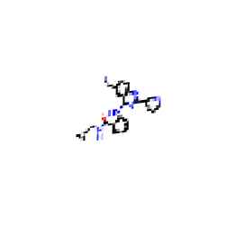 O=C(NCC1CC1)c1ccccc1Nc1nc(-c2cccnc2)nc2ccc(CI)cc12